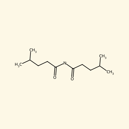 CC(C)CCC(=O)[N]C(=O)CCC(C)C